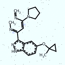 C=N/C(=C\C(=N/C)c1n[nH]c2ccc(OC3(C)CC3)cc12)N1CCCC1